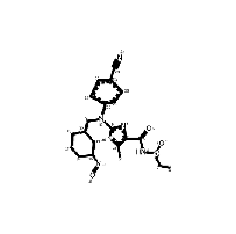 CC[S+]([O-])NC(=O)c1nc(N(CC2CCCC(N=O)C2)c2ccc(C#N)cc2)sc1C